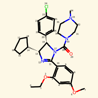 CCOc1cc(OC)ccc1C1=N[C@H](C2CCCC2)[C@H](c2ccc(Cl)cc2)N1C(=O)N1CCN(C)CC1